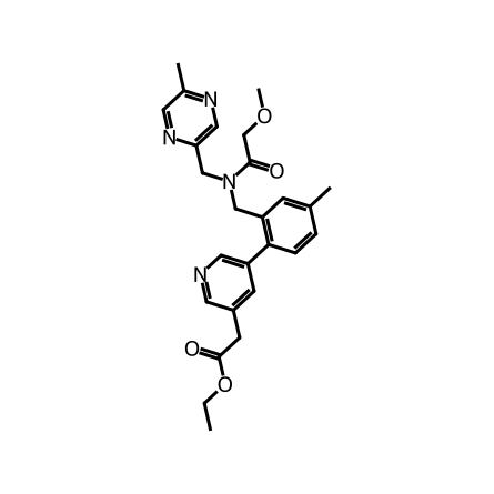 CCOC(=O)Cc1cncc(-c2ccc(C)cc2CN(Cc2cnc(C)cn2)C(=O)COC)c1